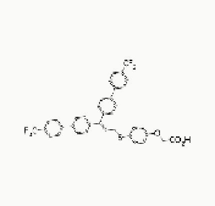 O=C(O)COc1ccc(SCC=C(c2ccc(-c3ccc(C(F)(F)F)cc3)cc2)c2ccc(-c3ccc(C(F)(F)F)cc3)cc2)cc1